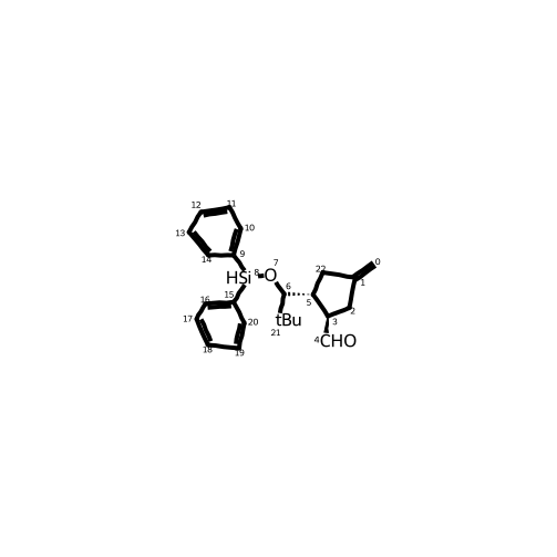 C=C1C[C@@H](C=O)[C@H](C(O[SiH](c2ccccc2)c2ccccc2)C(C)(C)C)C1